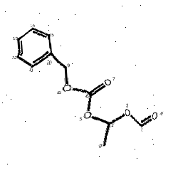 CC(OC=O)OC(=O)OCc1ccccc1